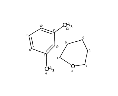 C1CCOCC1.Cc1cccc(C)c1